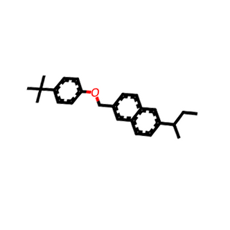 CCC(C)c1ccc2cc(COc3ccc(C(C)(C)C)cc3)ccc2c1